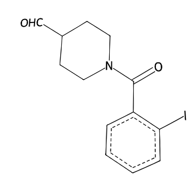 O=CC1CCN(C(=O)c2ccccc2I)CC1